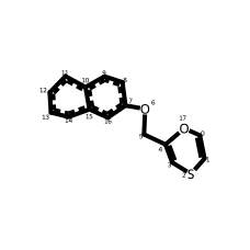 C1=CSC=C(COc2ccc3ccccc3c2)O1